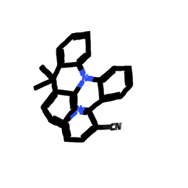 CC1(C)c2ccccc2N(c2ccccc2-c2ncccc2C#N)c2ccccc21